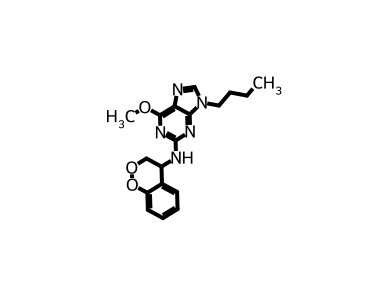 CCCCn1cnc2c(OC)nc(NC3COOc4ccccc43)nc21